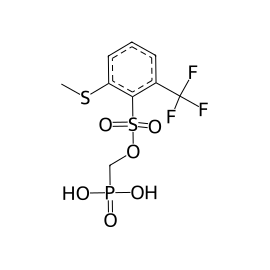 CSc1cccc(C(F)(F)F)c1S(=O)(=O)OCP(=O)(O)O